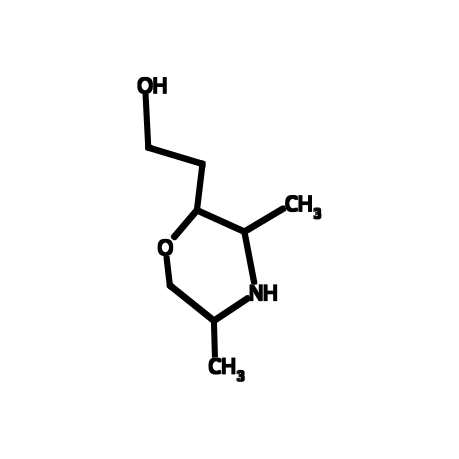 CC1COC(CCO)C(C)N1